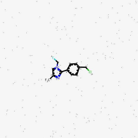 FCn1cc(C(F)(F)F)nc1-c1ccc(CCl)cc1